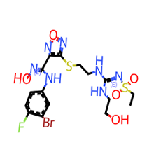 CCS(=O)(=O)/N=C(\NCCO)NCCSc1nonc1/C(=N/O)Nc1ccc(F)c(Br)c1